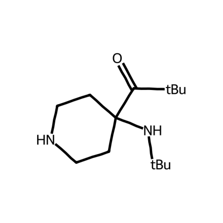 CC(C)(C)NC1(C(=O)C(C)(C)C)CCNCC1